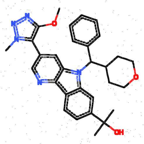 COc1nnn(C)c1-c1cnc2c3ccc(C(C)(C)O)cc3n(C(c3ccccc3)C3CCOCC3)c2c1